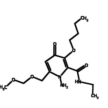 CCCCOc1c(C(=O)NCC)n(N)c(COCOC)cc1=O